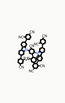 N#Cc1ccc(-c2ccc3c4ccc(-c5ccc(C#N)cc5C#N)cc4n(-c4cc(-c5c(C(F)(F)F)cccc5C(F)(F)F)c(-n5c6cc(-c7ccc(C#N)cc7C#N)ccc6c6ccc(-c7ccc(C#N)cc7C#N)cc65)cc4C#N)c3c2)c(C#N)c1